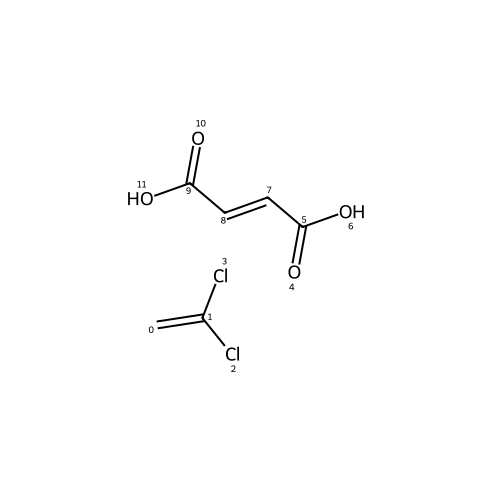 C=C(Cl)Cl.O=C(O)C=CC(=O)O